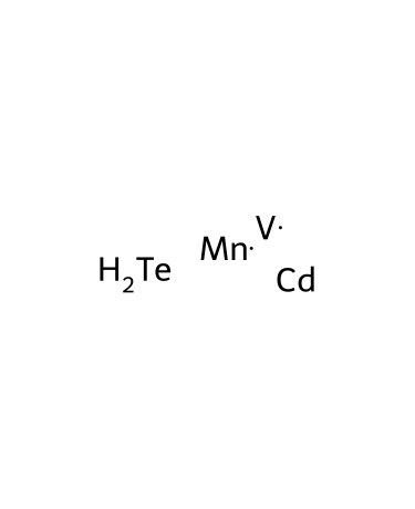 [Cd].[Mn].[TeH2].[V]